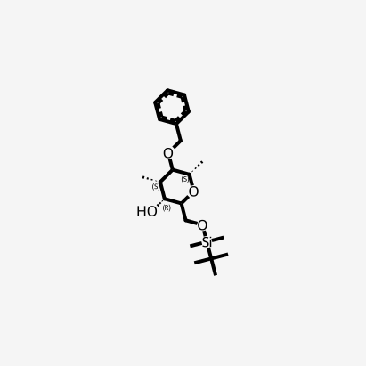 C[C@@H]1OC(CO[Si](C)(C)C(C)(C)C)[C@H](O)[C@H](C)C1OCc1ccccc1